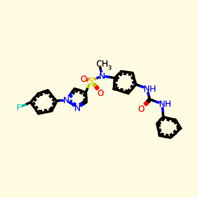 CN(c1ccc(NC(=O)Nc2ccccc2)cc1)S(=O)(=O)c1cnn(-c2ccc(F)cc2)c1